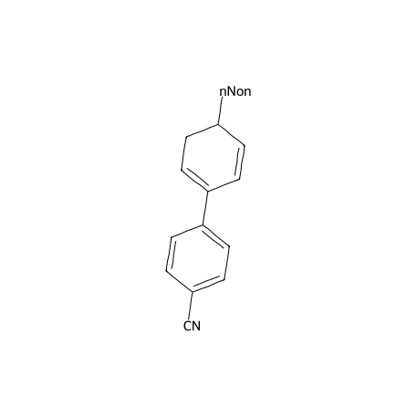 CCCCCCCCCC1C=CC(c2ccc(C#N)cc2)=CC1